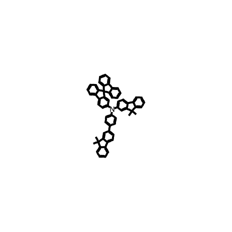 CC1(C)c2ccccc2-c2ccc(-c3ccc(N(c4ccc5c(c4)C(C)(C)c4ccccc4-5)c4ccc5c(c4)C4(c6ccccc6-c6ccccc64)c4ccccc4-5)cc3)cc21